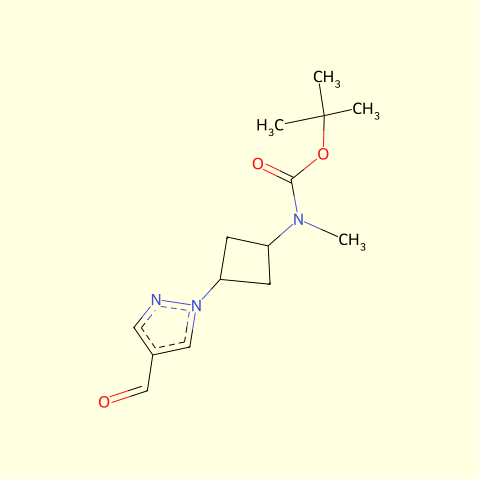 CN(C(=O)OC(C)(C)C)C1CC(n2cc(C=O)cn2)C1